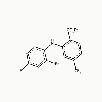 CCOC(=O)c1ccc(C(F)(F)F)cc1Nc1ccc(F)cc1Br